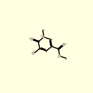 COC(=O)c1cc(Cl)c(=O)n(C)c1